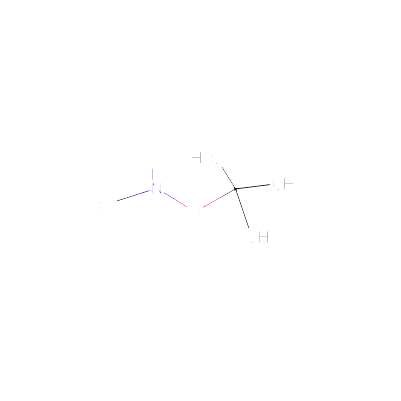 [CH2]CNOC(C)(C)C